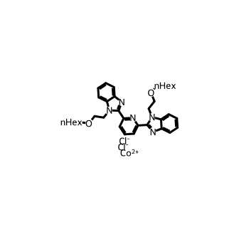 CCCCCCOCCn1c(-c2cccc(-c3nc4ccccc4n3CCOCCCCCC)n2)nc2ccccc21.[Cl-].[Cl-].[Co+2]